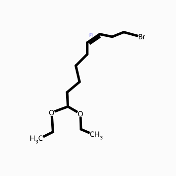 CCOC(CCCC/C=C\CCBr)OCC